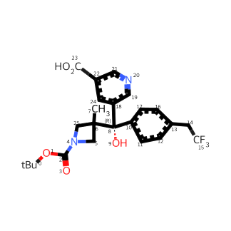 CC(C)(C)OC(=O)N1CC(C)([C@](O)(c2ccc(CC(F)(F)F)cc2)c2cncc(C(=O)O)c2)C1